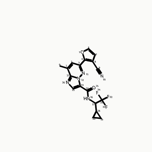 Cc1cc(-c2occc2C#N)nn2c(C(=O)NC(C3CC3)C(F)(F)F)cnc12